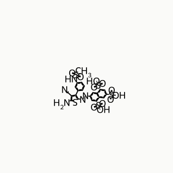 CS(=O)(=O)Nc1cccc(-c2c(/N=N/c3cc(S(=O)(=O)O)c4cc(S(=O)(=O)O)cc(S(=O)(=O)O)c4c3)sc(N)c2C#N)c1